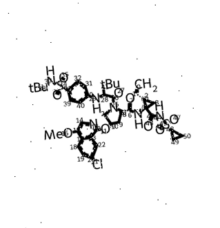 C=C[C@@H]1C[C@]1(NC(=O)[C@@H]1C[C@@H](Oc2ncc(OC)c3ccc(Cl)cc23)CN1C(=O)C(Nc1ccc(S(=O)(=O)NC(C)(C)C)cc1)C(C)(C)C)C(=O)NS(=O)(=O)C1CC1